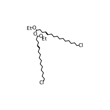 CCOC(CCC=CCCCCCCCCCCCl)OC(CCC=CCCCCCCCCCCCl)OCC